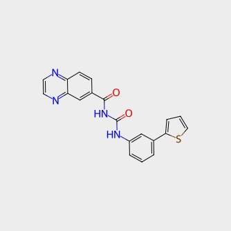 O=C(NC(=O)c1ccc2nccnc2c1)Nc1cccc(-c2cccs2)c1